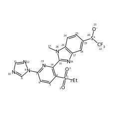 CCS(=O)(=O)c1ccc(-n2cncn2)nc1-c1nc2cc([S+]([O-])C(F)(F)F)ccc2n1C